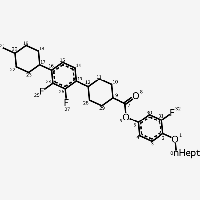 CCCCCCCOc1ccc(OC(=O)C2CCC(c3ccc(C4CCC(C)CC4)c(F)c3F)CC2)cc1F